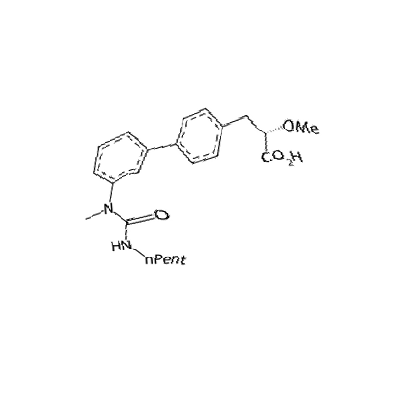 CCCCCNC(=O)N(C)c1cccc(-c2ccc(C[C@H](OC)C(=O)O)cc2)c1